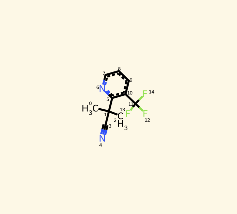 CC(C)(C#N)c1ncccc1C(F)(F)F